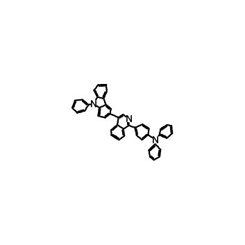 c1ccc(N(c2ccccc2)c2ccc(-c3ncc(-c4ccc5c(c4)c4ccccc4n5-c4ccccc4)c4ccccc34)cc2)cc1